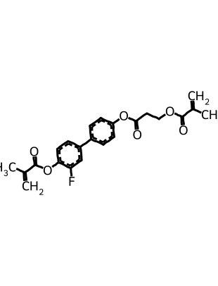 C=C(C)C(=O)OCCC(=O)Oc1ccc(-c2ccc(OC(=O)C(=C)C)c(F)c2)cc1